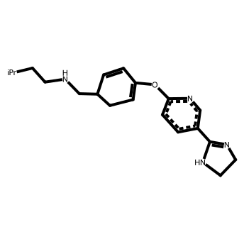 CC(C)CCNCC1C=CC(Oc2ccc(C3=NCCN3)cn2)=CC1